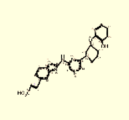 O=C(O)/C=C/c1ccc2oc(Nc3cncc(N4CCCC(OC5=C(O)CCC=C5)C4)n3)nc2c1